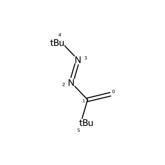 C=C(N=NC(C)(C)C)C(C)(C)C